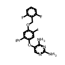 CC(C)c1cc(OCc2c(F)cccc2F)c(I)cc1Oc1cnc(N)nc1N